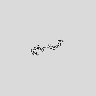 Nc1cccc(OCC(=O)COC(=O)CCCCC(=O)COC(=O)COc2cccc(N)c2)c1